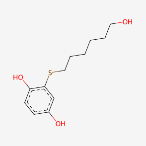 OCCCCCCSc1cc(O)ccc1O